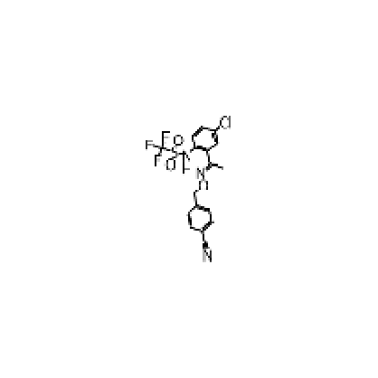 C/C(=N\OCc1ccc(C#N)cc1)c1cc(Cl)ccc1NS(=O)(=O)C(F)(F)F